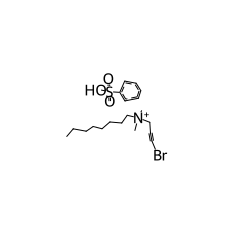 CCCCCCCC[N+](C)(C)CC#CBr.O=S(=O)(O)c1ccccc1